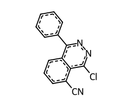 N#Cc1cccc2c(-c3ccccc3)nnc(Cl)c12